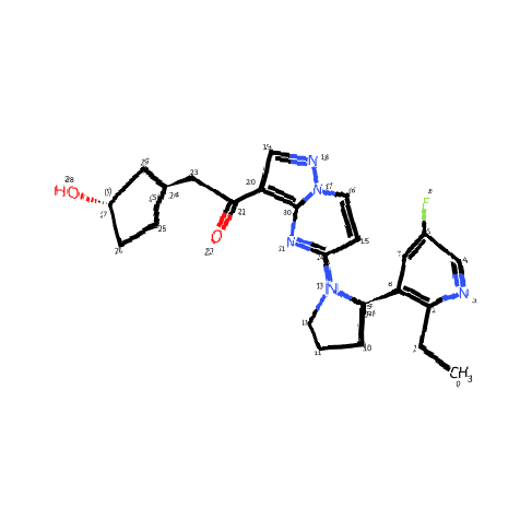 CCc1ncc(F)cc1[C@H]1CCCN1c1ccn2ncc(C(=O)C[C@H]3CC[C@H](O)C3)c2n1